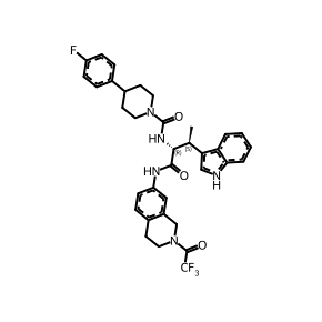 C[C@@H](c1c[nH]c2ccccc12)[C@@H](NC(=O)N1CCC(c2ccc(F)cc2)CC1)C(=O)Nc1ccc2c(c1)CN(C(=O)C(F)(F)F)CC2